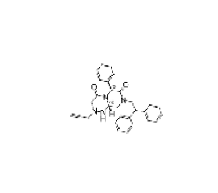 C#CCN1CC(=O)N2[C@H](CN(CC(c3ccccc3)c3ccccc3)C(=O)[C@@H]2c2ccccc2)N1